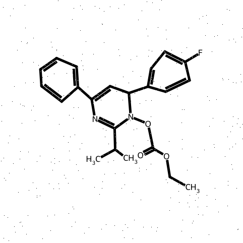 CCOC(=O)ON1C(C(C)C)=NC(c2ccccc2)=CC1c1ccc(F)cc1